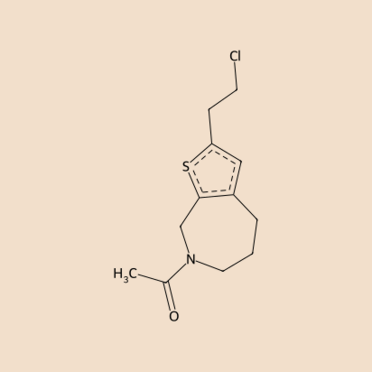 CC(=O)N1CCCc2cc(CCCl)sc2C1